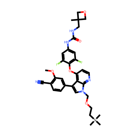 COc1cc(-c2cn(COCC[Si](C)(C)C)c3nccc(Oc4c(F)cc(NC(=O)NCC5(C)COC5)cc4F)c23)ccc1C#N